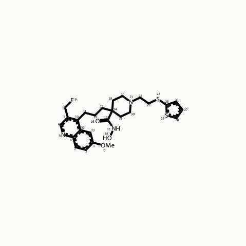 COc1ccc2ncc(CF)c(CCCC3(C(=O)NO)CCN(CCSc4cccs4)CC3)c2c1